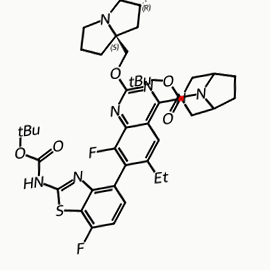 CCc1cc2c(N3CC4CCC(C3)N4C(=O)OC(C)(C)C)nc(OC[C@@]34CCCN3C[C@H](F)C4)nc2c(F)c1-c1ccc(F)c2sc(NC(=O)OC(C)(C)C)nc12